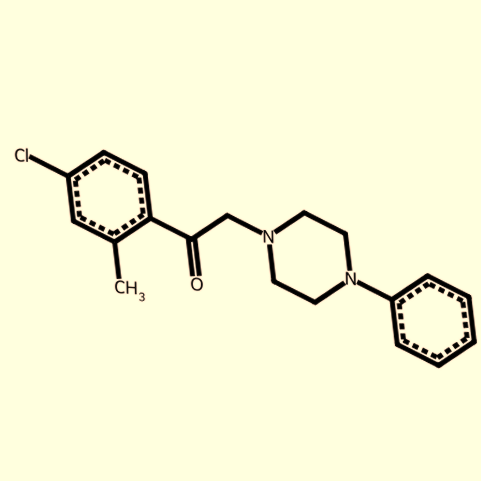 Cc1cc(Cl)ccc1C(=O)CN1CCN(c2ccccc2)CC1